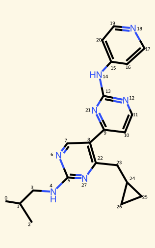 CC(C)CNc1ncc(-c2ccnc(Nc3ccncc3)n2)c(CC2CC2)n1